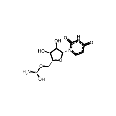 NP(O)OC[C@H]1O[C@@H](n2ccc(=O)[nH]c2=O)[C@H](O)[C@@H]1O